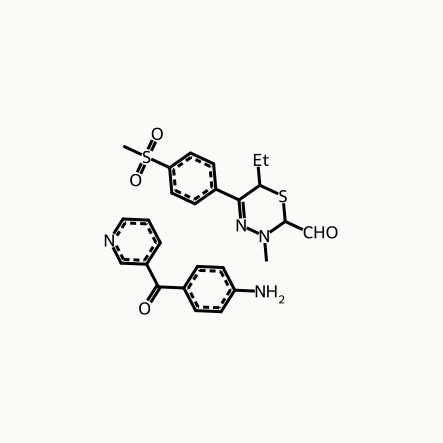 CCC1SC(C=O)N(C)N=C1c1ccc(S(C)(=O)=O)cc1.Nc1ccc(C(=O)c2cccnc2)cc1